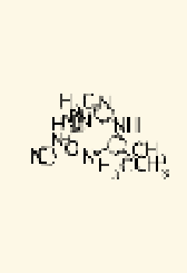 Cc1ncc(Nc2cc(C#N)cc(C(C)(C)C)c2)cc1-n1cc(C(=O)NC2CN3CCC2CC3)nn1